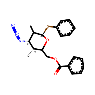 CC1[C@@H](Sc2ccccc2)OC(COC(=O)c2ccccc2)[C@H](C)[C@@H]1N=[N+]=[N-]